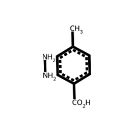 Cc1ccc(C(=O)O)cc1.NN